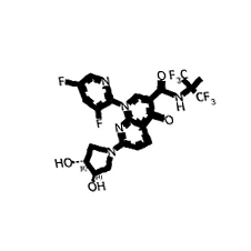 CC(NC(=O)c1cn(-c2ncc(F)cc2F)c2nc(N3C[C@@H](O)[C@H](O)C3)ccc2c1=O)(C(F)(F)F)C(F)(F)F